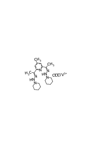 CC(=NNN1CCCCC1)c1cc(C)cc(C(C)=NNN2CCCCC2)n1.[Cl-].[Cl-].[Cl-].[V+3]